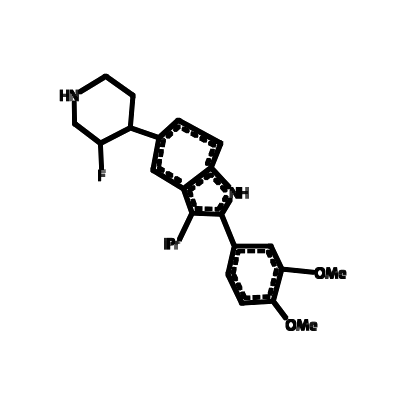 COc1ccc(-c2[nH]c3ccc(C4CCNCC4F)cc3c2C(C)C)cc1OC